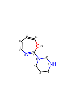 C1=CN=C(N2CCCNC2)OC=C1